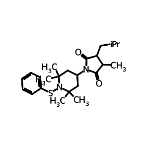 CC(C)CC1C(=O)N(C2CC(C)(C)N(Sc3ccccc3)C(C)(C)C2)C(=O)C1C